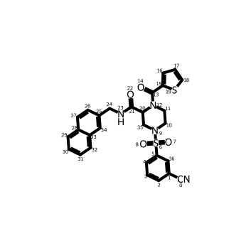 N#Cc1cccc(S(=O)(=O)N2CCN(C(=O)c3cccs3)C(C(=O)NCc3ccc4ccccc4c3)C2)c1